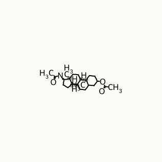 CC(=O)N=C1CC[C@H]2[C@@H]3CCC4CC(OC(C)=O)CC[C@]4(C)[C@@H]3CC[C@]12C